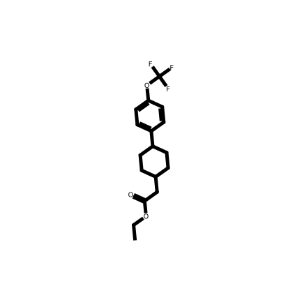 CCOC(=O)CC1CCC(c2ccc(OC(F)(F)F)cc2)CC1